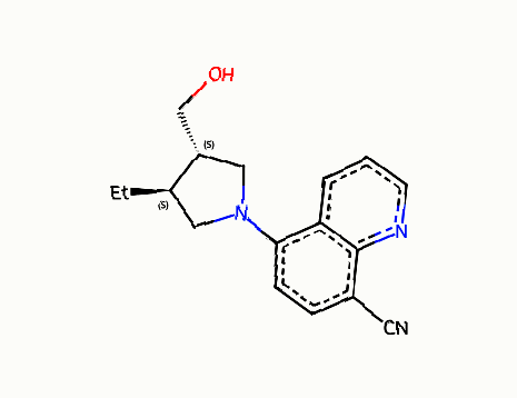 CC[C@@H]1CN(c2ccc(C#N)c3ncccc23)C[C@H]1CO